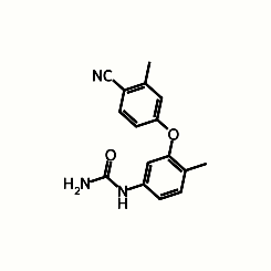 Cc1cc(Oc2cc(NC(N)=O)ccc2C)ccc1C#N